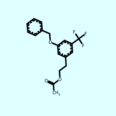 CC(=O)OCCc1cc(OCc2ccccc2)cc(C(F)(F)F)c1